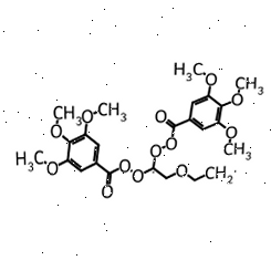 [CH2]COC[C](OOC(=O)c1cc(OC)c(OC)c(OC)c1)OOC(=O)c1cc(OC)c(OC)c(OC)c1